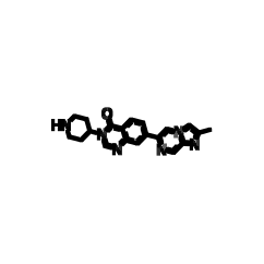 Cc1cn2cc(-c3ccc4c(=O)n(C5CCNCC5)cnc4c3)ncc2n1